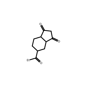 CCC(=O)C1CCC2C(=O)CC(=O)C2C1